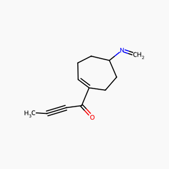 C=NC1CCC=C(C(=O)C#CC)CC1